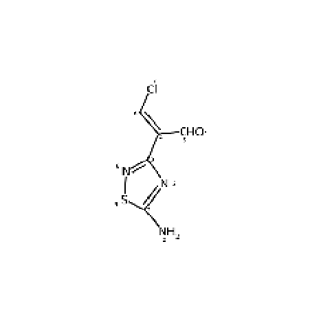 Nc1nc(/C([C]=O)=C/Cl)ns1